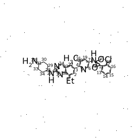 CCc1cc(-c2ncc(NS(=O)(=O)c3ccccc3Cl)cc2C)cc2cnc(N[C@H]3CC[C@H](N)CC3)nc12